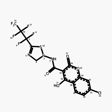 O=C(NN1CN=C(C(F)(F)C(F)(F)C(F)(F)F)S1)c1c(O)c2ccc(Cl)cc2oc1=O